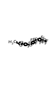 CCCC1COC(c2ccc(C(F)(F)Oc3cc(F)c(C(F)(F)Oc4cc(F)c(C(F)(F)OC(F)(F)F)c(F)c4)c(F)c3)cc2)OC1